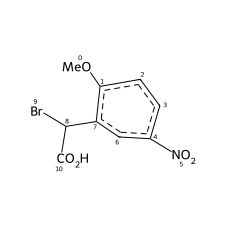 COc1ccc([N+](=O)[O-])cc1C(Br)C(=O)O